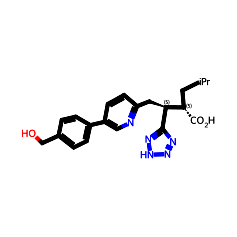 CC(C)C[C@H](C(=O)O)[C@H](Cc1ccc(-c2ccc(CO)cc2)cn1)c1nn[nH]n1